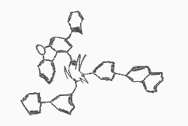 c1ccc(-c2cccc(-c3nc(-c4ccc(-c5ccc6ccccc6c5)cc4)nc(-c4cc(-c5ccccc5)cc5oc6ccccc6c45)n3)c2)cc1